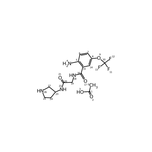 CC(=O)O.Nc1ccc(OC(F)(F)F)cc1C(=O)NCC(=O)NC1CCNC1